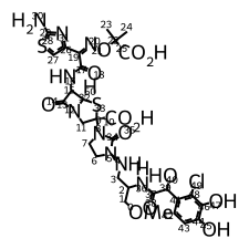 COCC(CNN1CCN([C@]2(C(=O)O)CN3C(=O)[C@@H](NC(=O)/C(=N\OC(C)(C)C(=O)O)c4csc(N)n4)[C@H]3S2)C1=O)NC(=O)C(O)c1ccc(O)c(O)c1Cl